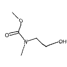 COC(=O)N(C)CCO